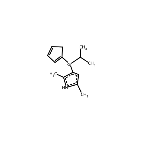 Cc1c[c]([Ru]([C]2=CC=CC2)[CH](C)C)c(C)[nH]1